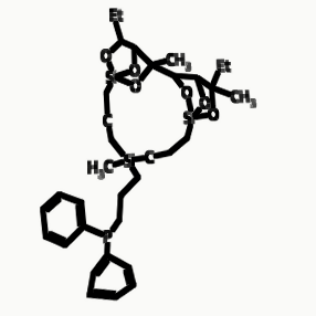 CCC1O[Si]23CCC[Si](C)(CCCP(c4ccccc4)c4ccccc4)CCC[Si]45OC(C(O4)C(C)(O2)C1O3)C(C)(CC)O5